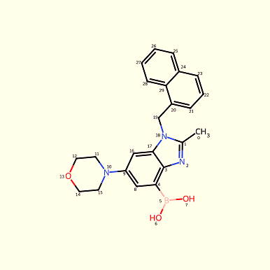 Cc1nc2c(B(O)O)cc(N3CCOCC3)cc2n1Cc1cccc2ccccc12